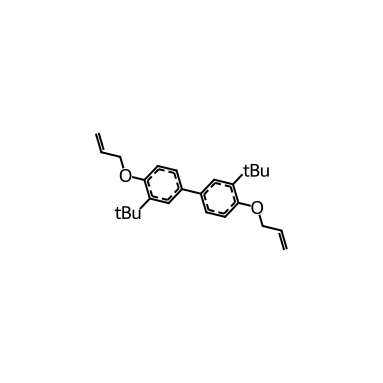 C=CCOc1ccc(-c2ccc(OCC=C)c(C(C)(C)C)c2)cc1C(C)(C)C